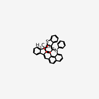 CC1(C)c2ccccc2-c2cc3ccc4cccc(N(c5ccccc5)c5cccc6sc7ccccc7c56)c4c3cc21